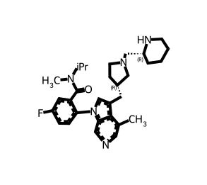 Cc1cncc2c1c(C[C@@H]1CCN(C[C@H]3CCCCN3)C1)cn2-c1ccc(F)cc1C(=O)N(C)C(C)C